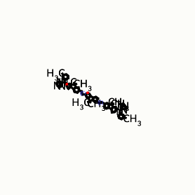 Cc1cccc(N(c2ccc3c(c2)C(C)(C)c2cc(/C=C/c4ccc5c(c4)C(C)(C)c4cc(/C=C/c6ccc7c(c6)C(C)(C)c6cc(N(c8cccc(C)c8)c8ncncn8)ccc6-7)ccc4-5)ccc2-3)c2ncncn2)c1